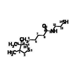 CC1CS[C@@H](CCCCC(=O)NCCS)C1(C)C